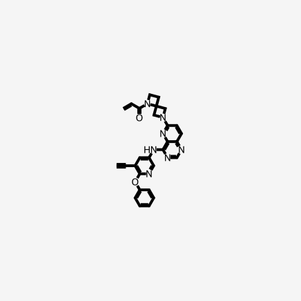 C#Cc1cc(Nc2ncnc3ccc(N4CC5(CCN5C(=O)C=C)C4)nc23)cnc1Oc1ccccc1